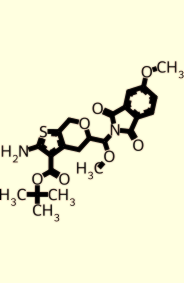 COc1ccc2c(c1)C(=O)N(C(OC)C1Cc3c(sc(N)c3C(=O)OC(C)(C)C)CO1)C2=O